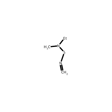 C=NSN(C)CC